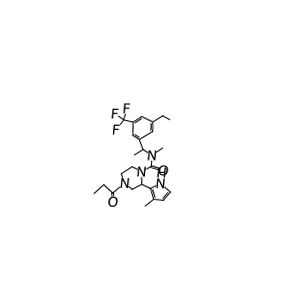 CCC(=O)N1CCN(C(=O)N(C)C(C)c2cc(CC)cc(C(F)(F)F)c2)C(c2[nH]ccc2C)C1